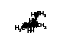 CNCCCNc1cc(C)nc(NC(=O)Nc2cccc(C)c2)n1